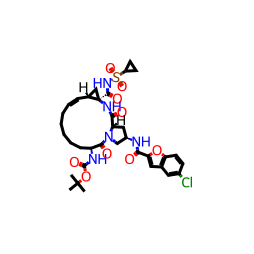 CC(C)(C)OC(=O)N[C@H]1CCCCC/C=C\[C@@H]2C[C@@]2(C(=O)NS(=O)(=O)C2CC2)NC(=O)[C@@H]2C[C@@H](NC(=O)c3cc4cc(Cl)ccc4o3)CN2C1=O